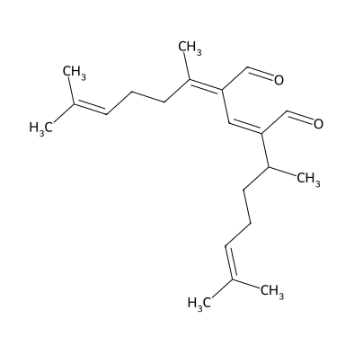 CC(C)=CCC/C(C)=C(/C=O)C=C(C=O)C(C)CCC=C(C)C